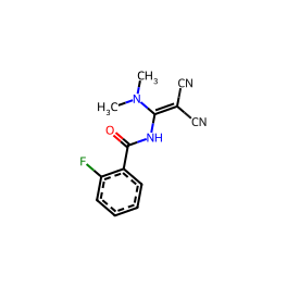 CN(C)C(NC(=O)c1ccccc1F)=C(C#N)C#N